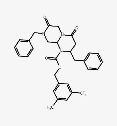 O=C1CN2C(=O)CC(Cc3ccccc3)N(C(=O)OCc3cc(C(F)(F)F)cc(C(F)(F)F)c3)C2CN1Cc1ccccc1